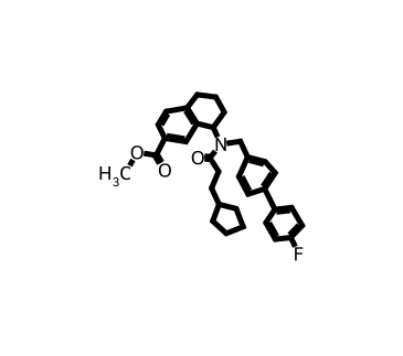 COC(=O)c1ccc2c(c1)C(N(Cc1ccc(-c3ccc(F)cc3)cc1)C(=O)CCC1CCCC1)CCC2